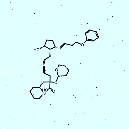 O=C(O)C(CC=C=CC[C@H]1[C@@H](O)CC[C@@H]1/C=C/CCOc1ccccc1)(OC1CCCCO1)OC1CCCCO1